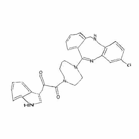 O=C(C(=O)N1CCN(C2=Nc3cc(Cl)ccc3Nc3ccccc32)CC1)c1c[nH]c2ccccc12